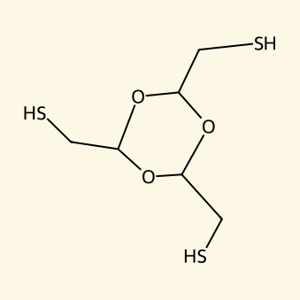 SCC1OC(CS)OC(CS)O1